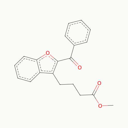 COC(=O)CCCc1c(C(=O)c2ccccc2)oc2ccccc12